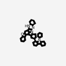 C1=CC2=Nc3c(c4cc5oc6ccccc6c5c5c6cc(-c7cccc8c9ccccc9n(-c9ccccc9)c78)ccc6n3c45)NC2C=C1